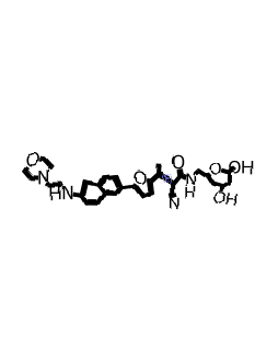 C/C(=C(/C#N)C(=O)NCC1CC(O)CC(O)O1)c1ccc(-c2ccc3cc(NCCN4CCOCC4)ccc3c2)o1